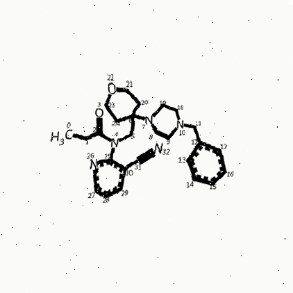 CCC(=O)N(CC1(N2CCN(Cc3ccccc3)CC2)CCOCC1)c1ncccc1C#N